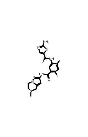 Cc1cc(F)c(C(=O)Nc2cc3n(n2)CCN(C)C3)cc1NC(=O)c1cnc(N)s1